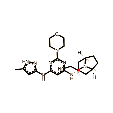 Cc1cc(Nc2cc(N[C@@H]3C[C@H]4CC[C@@H](C3)N4CCC#N)nc(N3CCOCC3)n2)n[nH]1